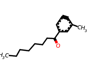 CCCCCCCC(=O)c1cc#cc(C)c1